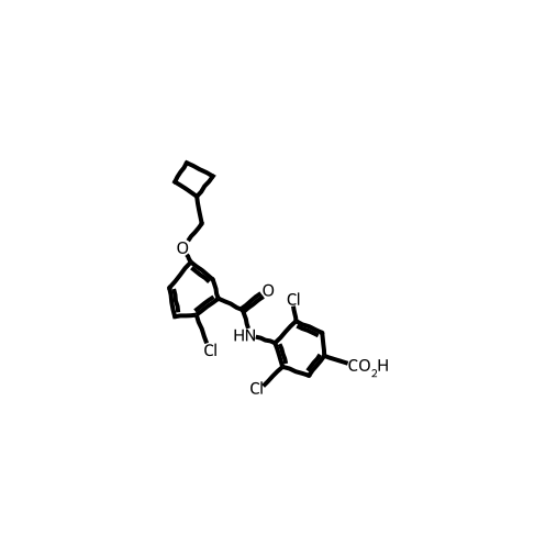 O=C(O)c1cc(Cl)c(NC(=O)c2cc(OCC3CCC3)ccc2Cl)c(Cl)c1